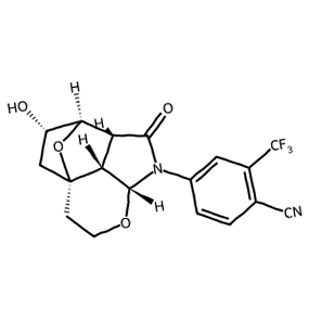 N#Cc1ccc(N2C(=O)[C@H]3[C@H]4O[C@]5(CCO[C@@H]2[C@@H]35)C[C@@H]4O)cc1C(F)(F)F